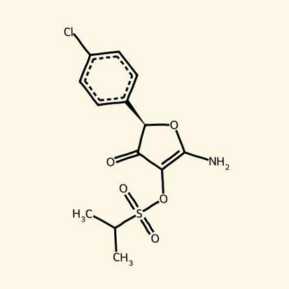 CC(C)S(=O)(=O)OC1=C(N)O[C@H](c2ccc(Cl)cc2)C1=O